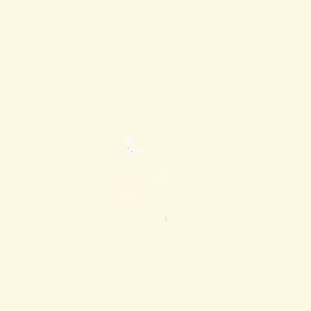 CC(=O)Oc1ncc(Br)cc1Cl